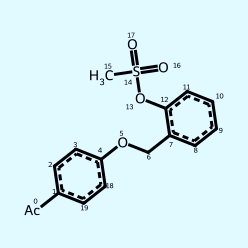 CC(=O)c1ccc(OCc2ccccc2OS(C)(=O)=O)cc1